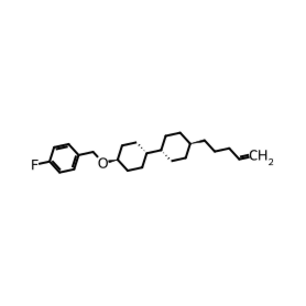 C=CCCC[C@H]1CC[C@H]([C@H]2CC[C@H](OCc3ccc(F)cc3)CC2)CC1